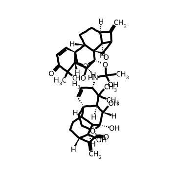 C=C1C2C(=O)[C@]34[C@H]2[C@H]1CC[C@H]3[C@]12C=CC(=O)C(C)(C)[C@H]1[C@H](O)[C@@]4(OC(C)(O)N[C@H]1C=C[C@]34CCO[C@](O)([C@@H](O)[C@@H]3C1(C)C)[C@]13C(=O)C(=C)[C@H](CC[C@@H]41)[C@@H]3O)OC2